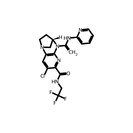 C=C(Nc1ccccn1)N1c2nc(C(=O)NCC(F)(F)F)c(Cl)cc2N2CC[C@H]1C2